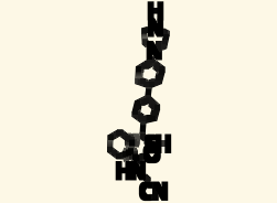 N#CCNC(=O)[C@H]1CCCC[C@@H]1C(S)c1ccc(-c2ccc(N3CCNCC3)cc2)cc1